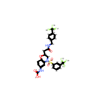 O=C(O)Nc1ccc2c(c1)N(S(=O)(=O)c1cccc(C(F)(F)F)c1)CC(CC(=O)NCc1ccc(C(F)(F)F)cc1)O2